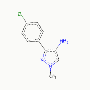 Cn1cc(N)c(-c2ccc(Cl)cc2)n1